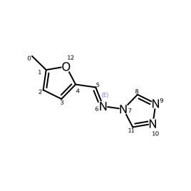 Cc1ccc(/C=N/n2cnnc2)o1